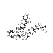 CC(C)(C)OC(=O)N1CCN(c2cc(-c3cc(NC(=O)C[C@H](Cc4ccccc4)C(=O)O)cc(Nc4cnccn4)n3)ccn2)CC1